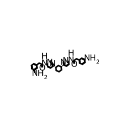 Nc1cccc(CC(=O)Nc2ccc([C@H]3CCC[C@H](c4ccc(NC(=O)Cc5cccc(N)c5)nn4)C3)nn2)c1